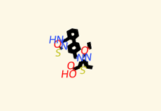 CCOc1nc2c(C)sc(C(=O)O)c2n1Cc1ccc(-c2ccccc2-c2nc(=S)o[nH]2)cc1